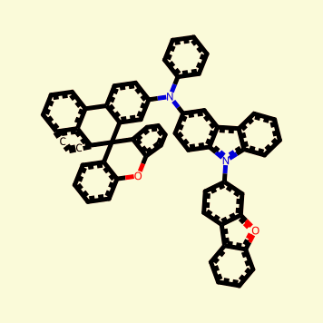 c1ccc(N(c2ccc3c(c2)C2(c4ccccc4Oc4ccccc42)c2cccc4cccc-3c24)c2ccc3c(c2)c2ccccc2n3-c2ccc3c(c2)oc2ccccc23)cc1